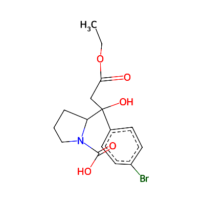 CCOC(=O)CC(O)(c1ccc(Br)cc1)C1CCCN1C(=O)O